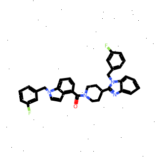 O=C(c1cccc2c1ccn2Cc1cccc(F)c1)N1CCC(c2nc3ccccc3n2Cc2cccc(F)c2)CC1